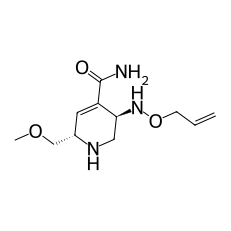 C=CCON[C@H]1CN[C@H](COC)C=C1C(N)=O